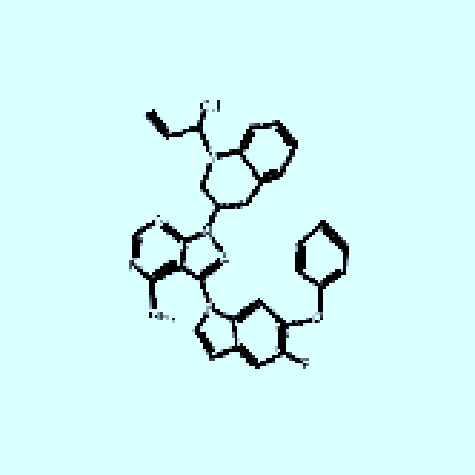 C=CC(O)N1CC(n2nc(-n3ccc4cc(F)c(Oc5ccccc5)cc43)c3c(N)ncnc32)Cc2ccccc21